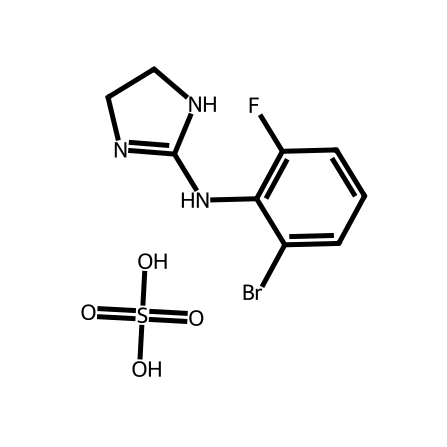 Fc1cccc(Br)c1NC1=NCCN1.O=S(=O)(O)O